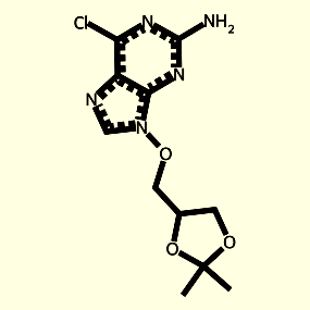 CC1(C)OCC(COn2cnc3c(Cl)nc(N)nc32)O1